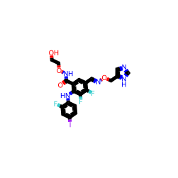 O=C(NOCCO)c1cc(C=NOCc2cnc[nH]2)c(F)c(F)c1Nc1ccc(I)cc1F